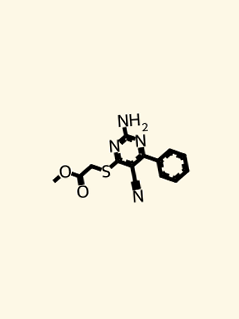 COC(=O)CSc1nc(N)nc(-c2ccccc2)c1C#N